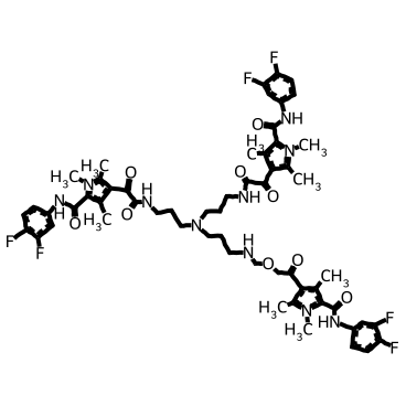 Cc1c(C(=O)COCNCCCN(CCCNC(=O)C(=O)c2c(C)c(C(=O)Nc3ccc(F)c(F)c3)n(C)c2C)CCCNC(=O)C(=O)c2c(C)c(C(=O)Nc3ccc(F)c(F)c3)n(C)c2C)c(C)n(C)c1C(=O)Nc1ccc(F)c(F)c1